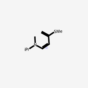 C=C(/C=C\N(C)C(C)C)SC